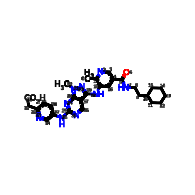 Cc1ncc(C(=O)NCCC2CCCCC2)cc1Nc1nn(C)c2nc(Nc3ccc(CC(=O)O)nc3)ncc12